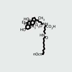 CCCCCCCC/C=C\CCCCCCCC(=O)NCCCCC(NC(=O)CC[C@@H](C)C1CC[C@H]2[C@@H]3[C@H](O)[C@H](CC)[C@@H]4C[C@H](O)CC[C@]4(C)[C@H]3CC[C@]12C)C(=O)O